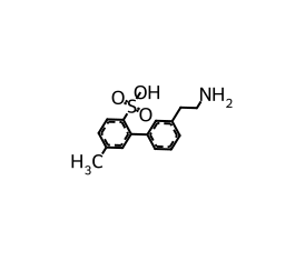 Cc1ccc(S(=O)(=O)O)c(-c2cccc(CCN)c2)c1